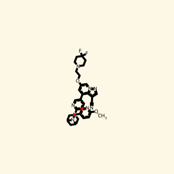 COc1ccc(CN2C3CC2CN(c2ccc(-c4cc(OCCN5CCC(F)(F)CC5)cn5ncc(C#N)c45)cn2)C3)cn1